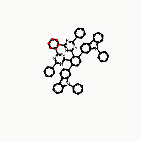 c1ccc(-c2nc(-c3ccccc3)nc(-c3c(-c4ccc5c6ccccc6n(-c6ccccc6)c5c4)ccc(-c4ccc5c6ccccc6n(-c6ccccc6)c5c4)c3-c3nc(-c4ccccc4)nc(-c4ccccc4)n3)n2)cc1